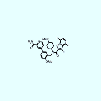 CN[C@H]1CC[C@@H](N(Cc2cc(-c3ccnc(C(N)=O)c3)ccc2OC)C(=O)c2sc3c(F)ccc(F)c3c2Cl)CC1